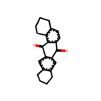 O=C1c2cc3c(cc2C(=O)c2c1ccc1c2CCCC1)CCCC3